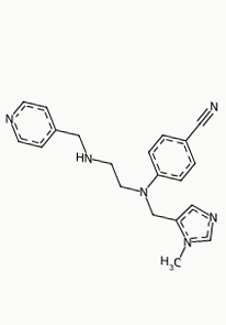 Cn1cncc1CN(CCNCc1ccncc1)c1ccc(C#N)cc1